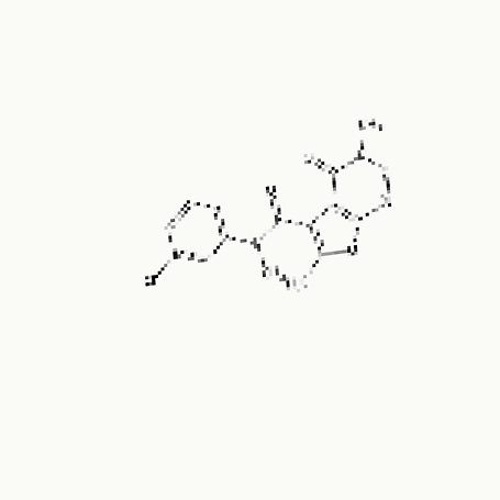 Cc1oc2ncn(C)c(=O)c2c1C(=O)N(C)c1cccc(Cl)c1